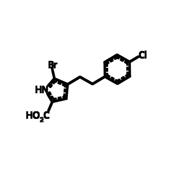 O=C(O)c1cc(CCc2ccc(Cl)cc2)c(Br)[nH]1